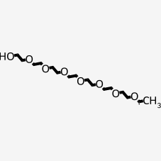 C[CH]OCCOCCOCCOCCOCCOCCOCCO